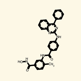 Cc1ccc(C(=O)NO)cc1NC(=O)c1ccc(Nc2nc(-c3ccccc3)c3ccccc3n2)cc1